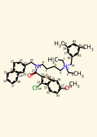 CC[N+](CC)(CCCCN(Cc1ccc2ccccc2c1)C(=O)c1sc2cc(OC)ccc2c1Cl)Cc1cc(C)cc(C)c1